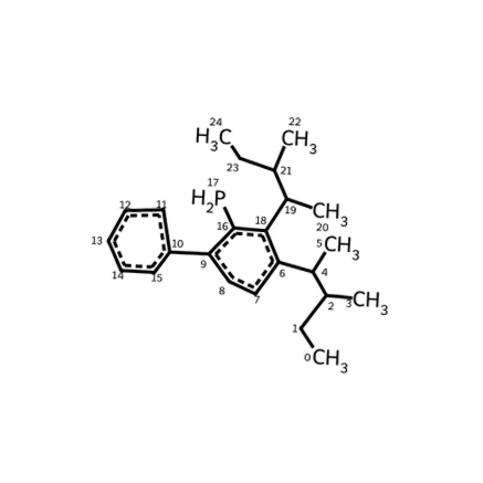 CCC(C)C(C)c1ccc(-c2ccccc2)c(P)c1C(C)C(C)CC